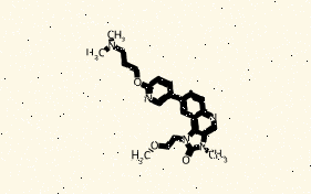 COCCn1c(=O)n(C)c2cnc3ccc(-c4ccc(OCCCN(C)C)nc4)cc3c21